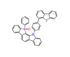 O=P1(c2ccccc2)c2ccccc2-c2ccc3c4ccccc4n(-c4ccc(-c5cccc6c5sc5ccccc56)cc4)c3c21